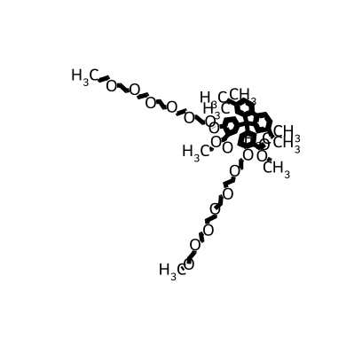 CCCOCCOCCOCCOCCOCCOOc1ccc(C2(c3ccc(OCCOCCOCCOCCOCCOCCOC)c(C(=O)OCC)c3)c3cc(C(C)(C)C)ccc3-c3ccc(C(C)(C)C)cc32)cc1C(=O)OCC